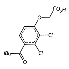 CCC(C)C(=O)c1ccc(OCC(=O)O)c(Cl)c1Cl